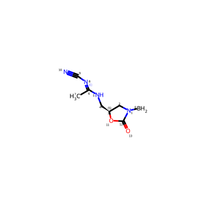 BN1C[C@H](CN/C(C)=N/C#N)OC1=O